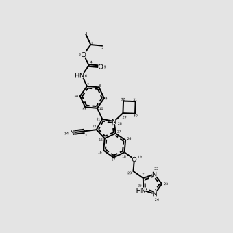 CC(C)OC(=O)Nc1ccc(-c2c(C#N)c3ccc(OCc4ncn[nH]4)cc3n2C2CCC2)cc1